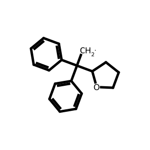 [CH2]C(c1ccccc1)(c1ccccc1)C1CCCO1